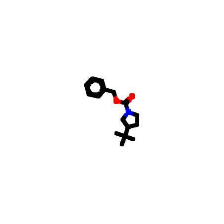 CC(C)(C)C1CCN(C(=O)OCc2ccccc2)C1